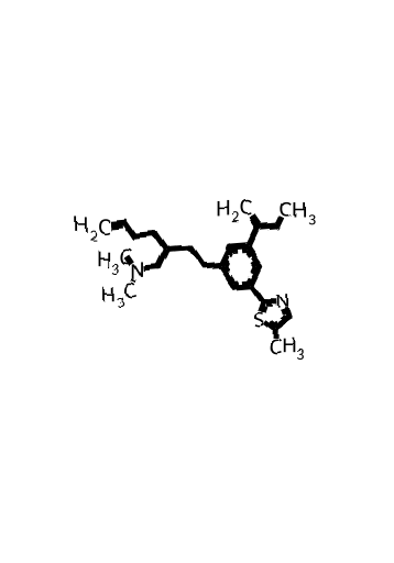 C=CCCC(CCc1cc(C(=C)CC)cc(-c2ncc(C)s2)c1)CN(C)C